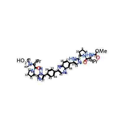 COC(=O)N[C@H](C(=O)N1CCC[C@H]1c1ncc(-c2ccc3nc(-c4ccc(-c5cnc([C@@H]6CCCN6C(=O)[C@H](C(C)C)N(C)C(=O)O)[nH]5)cc4)cnc3c2)[nH]1)C(C)C